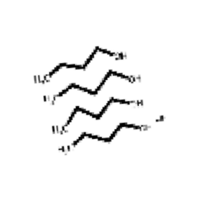 CCCCO.CCCCO.CCCCO.CCCCO.[La]